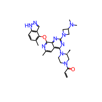 C=CC(=O)N1CCN(c2nc(N3CC(N(C)C)C3)nc3c(Oc4c(C)ccc5[nH]ncc45)nc(C)cc23)[C@@H](C)C1